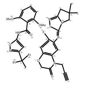 C#CCN1C(=O)COc2cc(F)c(/N=c3\snc4n3CC(C)(C)C4)cc21.CCC(C)(CC)c1cc(NC(=O)c2c(OC)cccc2OC)on1